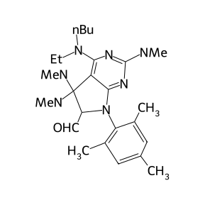 CCCCN(CC)c1nc(NC)nc2c1C(NC)(NC)C(C=O)N2c1c(C)cc(C)cc1C